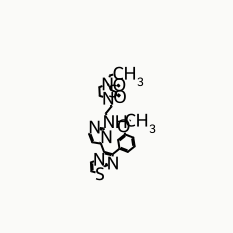 CCN1CCN(CCNc2nccc(-c3c(-c4cccc(OC)c4)nc4sccn34)n2)S1(=O)=O